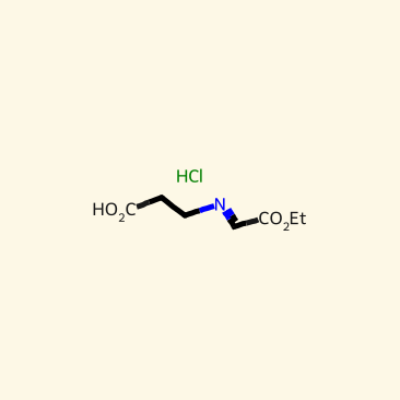 CCOC(=O)C=NCCC(=O)O.Cl